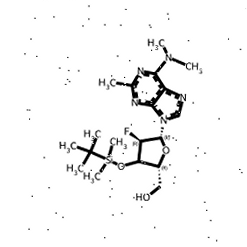 Cc1nc(N(C)C)c2ncn([C@@H]3O[C@H](CO)C(O[Si](C)(C)C(C)(C)C)[C@H]3F)c2n1